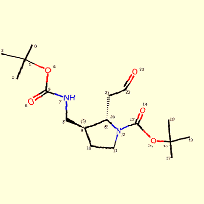 CC(C)(C)OC(=O)NC[C@@H]1CCN(C(=O)OC(C)(C)C)[C@H]1CC=O